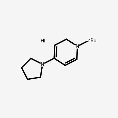 CCCCN1C=CC(N2CCCC2)=CC1.I